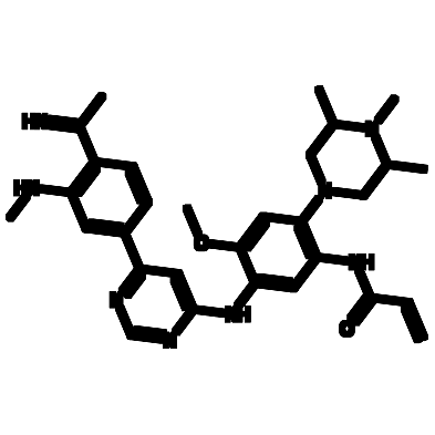 C=CC(=O)Nc1cc(Nc2cc(-c3ccc(C(C)=N)c(NC)c3)ncn2)c(OC)cc1N1CC(C)N(C)C(C)C1